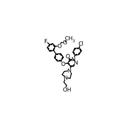 COCOc1cc(F)ccc1-c1ccc(Oc2c(N3CCN(CCO)CC3)cnn(-c3ccc(Cl)cc3)c2=O)cc1